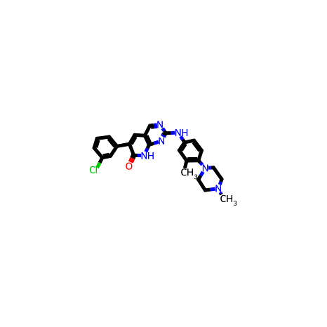 Cc1cc(Nc2ncc3cc(-c4cccc(Cl)c4)c(=O)[nH]c3n2)ccc1N1CCN(C)CC1